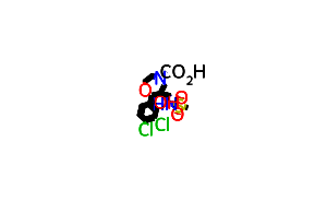 CS(=O)(=O)NCC1(O)CN(C(=O)O)CCOC1c1ccc(Cl)c(Cl)c1